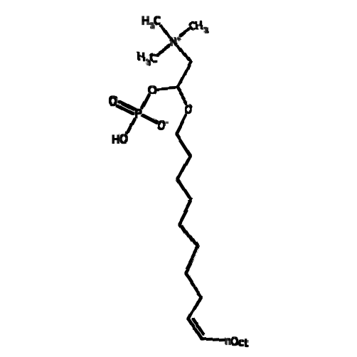 CCCCCCCC/C=C\CCCCCCCCOC(C[N+](C)(C)C)OP(=O)([O-])O